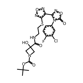 CC(C)(C)OC(=O)N1CC(O)(C(=O)NCCSc2nonc2-c2noc(=O)n2-c2ccc(F)c(Cl)c2)C1